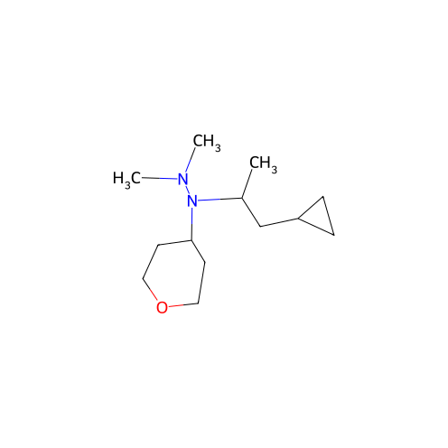 CC(CC1CC1)N(C1CCOCC1)N(C)C